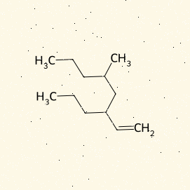 C=CC(CCC)CC(C)CCC